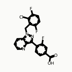 O=C(O)c1ccc(-c2nn(Cc3c(F)ccc(F)c3Cl)c3cccnc23)c(F)c1